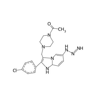 CC(=O)N1CCN(CC2=C(c3ccc(Cl)cc3)NC3C=CC(NN=N)=CN23)CC1